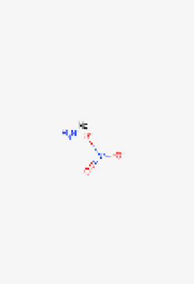 O=[N+]([O-])[O-].[NH4+].[Nd]